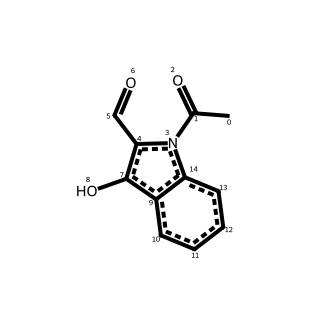 CC(=O)n1c(C=O)c(O)c2ccccc21